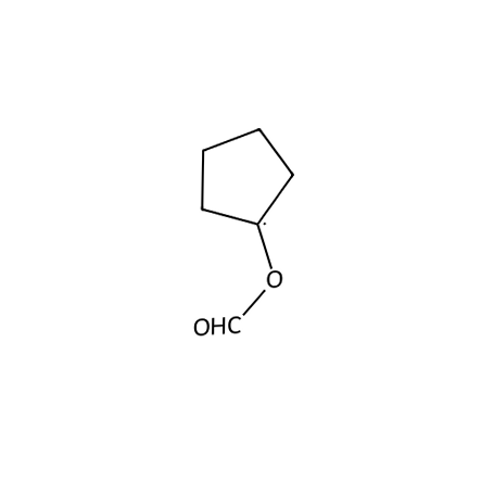 O=CO[C]1CCCC1